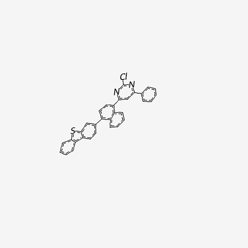 Clc1nc(-c2ccccc2)cc(-c2ccc(-c3ccc4c(c3)sc3ccccc34)c3ccccc23)n1